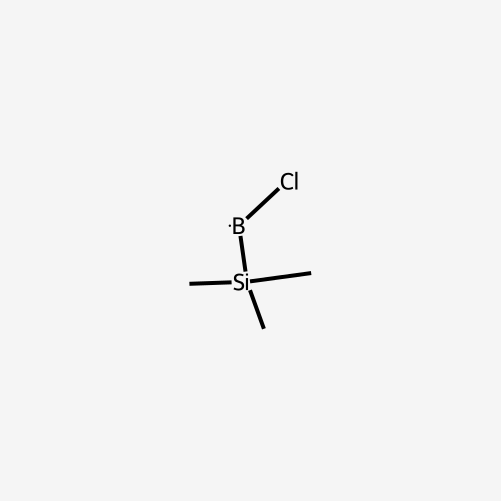 C[Si](C)(C)[B]Cl